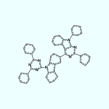 c1ccc(-c2nc(-c3ccccc3)nc(-n3c4ccccc4c4cc(-c5nc(-c6ccccc6)nc6c5c5ccccc5n6-c5ccccc5)ccc43)n2)cc1